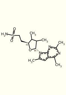 Cc1nc(C)c2cc(C)n([C@@H]3O[C@@H](CCS(N)(=O)=O)C(C)C3C)c2n1